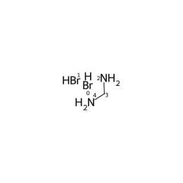 Br.Br.NCN